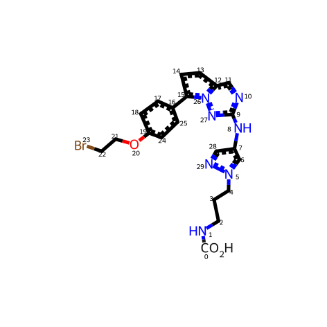 O=C(O)NCCCn1cc(Nc2ncc3ccc(-c4ccc(OCCBr)cc4)n3n2)cn1